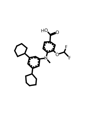 CN(c1cc(C2CCCCC2)cc(C2CCCCC2)c1)c1ccc(C(=O)O)cc1OC(F)F